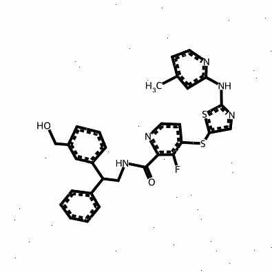 Cc1ccnc(Nc2ncc(Sc3ccnc(C(=O)NCC(c4ccccc4)c4cccc(CO)c4)c3F)s2)c1